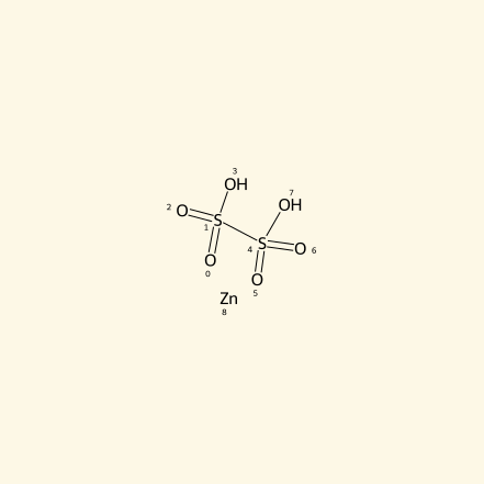 O=S(=O)(O)S(=O)(=O)O.[Zn]